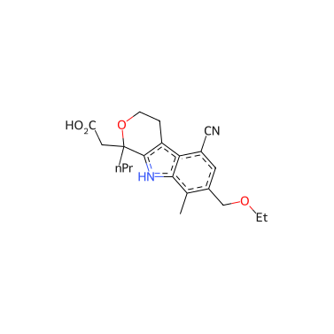 CCCC1(CC(=O)O)OCCc2c1[nH]c1c(C)c(COCC)cc(C#N)c21